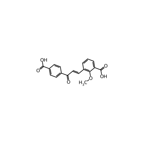 COc1c(C=CC(=O)c2ccc(C(=O)O)cc2)cccc1C(=O)O